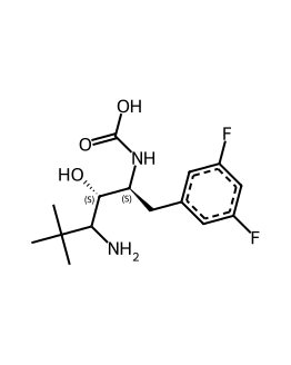 CC(C)(C)C(N)[C@H](O)[C@H](Cc1cc(F)cc(F)c1)NC(=O)O